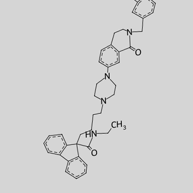 CCNC(=O)C1(CCCCN2CCN(c3ccc4c(c3)C(=O)N(Cc3cccc(Cl)c3)CC4)CC2)c2ccccc2-c2ccccc21